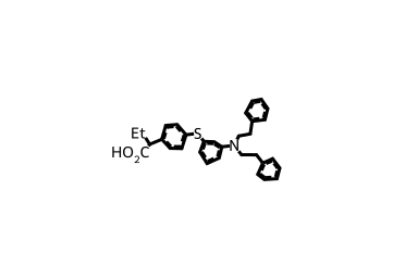 CCC(C(=O)O)c1ccc(Sc2cccc(N(CCc3ccccc3)CCc3ccccc3)c2)cc1